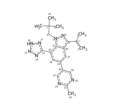 C=C(C)c1nn(CC(C)(C)C)c2c(-c3nn[nH]n3)cc(-c3cnc(C)nc3)cc12